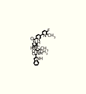 Cc1nc(-c2ccc(C(=O)N3C[C@@H]4C[C@H]3CN4C(=O)[C@@H](NC(=O)c3cc4ccccc4[nH]3)C(C)(C)C)nc2)ccc1F